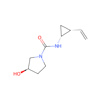 C=C[C@H]1C[C@H]1NC(=O)N1CC[C@@H](O)C1